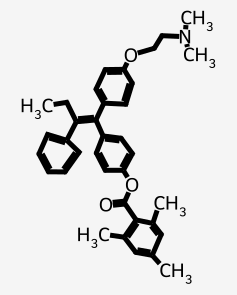 CC/C(=C(\c1ccc(OCCN(C)C)cc1)c1ccc(OC(=O)c2c(C)cc(C)cc2C)cc1)c1ccccc1